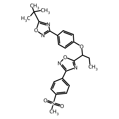 CCC(Oc1ccc(-c2noc(C(C)(C)C)n2)cc1)c1nc(-c2ccc(S(C)(=O)=O)cc2)no1